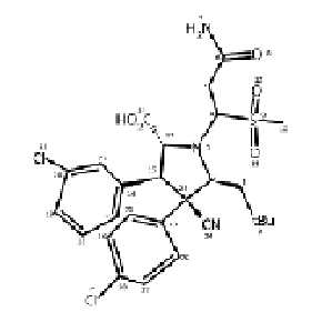 CC(C)(C)C[C@@H]1N(C(CC(N)=O)S(C)(=O)=O)[C@@H](C(=O)O)[C@H](c2cccc(Cl)c2)[C@@]1(C#N)c1ccc(Cl)cc1